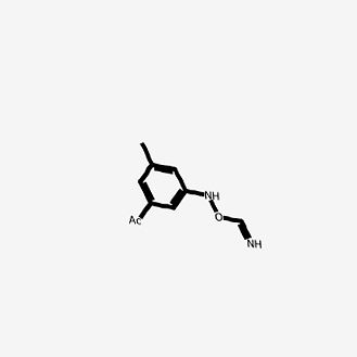 CC(=O)c1cc(C)cc(NOC=N)c1